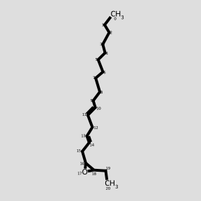 CCCCCCCCCCC=CCC=CCC1OC1CC